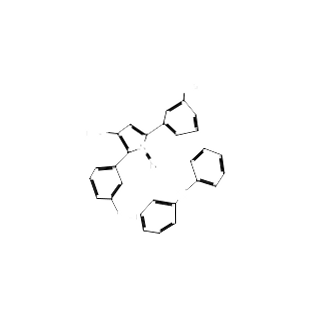 CCCCC1=C(c2cccc(CCCC)c2)[N+](=[N-])C(c2cccc(CCCC)c2)=C1.c1cc[c]([Pd][c]2ccccc2)cc1